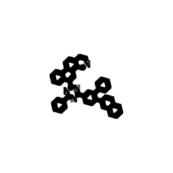 c1ccc(-c2nc(-c3ccc(-c4ccc5ccccc5c4)c(-c4ccccc4)c3)nc(-c3cc4c5cnccc5ccc4c4ccccc34)n2)cc1